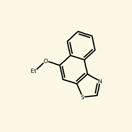 CCOc1cc2scnc2c2ccccc12